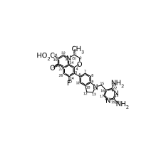 C[C@H]1COc2c(-c3ccc4c(c3)CCN4Cc3cnc(N)nc3N)c(F)cc3c(=O)c(C(=O)O)cn1c23